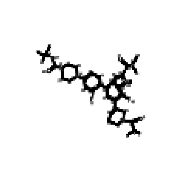 CC(C)C(=O)N1CCC=C(c2cc(-c3ccc(N4CCN(C(=O)OC(C)(C)C)CC4)cc3F)c3cc(C(=O)N(C)C)[nH]c3c2F)C1